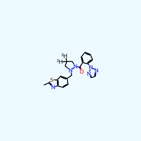 [2H]C1([2H])CN(Cc2ccc3nc(C)sc3c2)N(C(=O)c2ccccc2-n2nccn2)C1